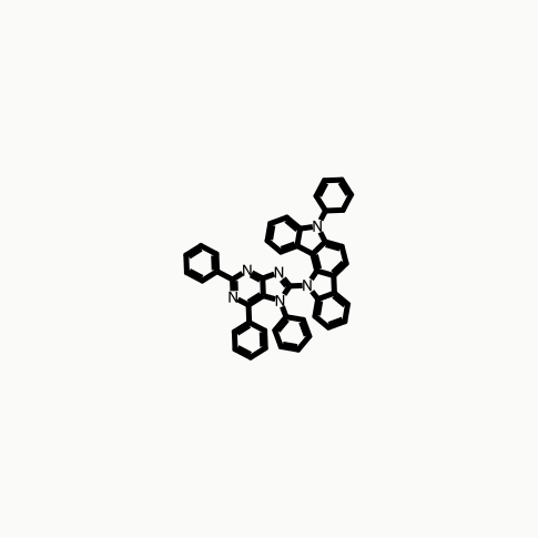 C1=CCC(n2c3ccccc3c3c4c(ccc32)c2ccccc2n4-c2nc3nc(-c4ccccc4)nc(-c4ccccc4)c3n2-c2ccccc2)C=C1